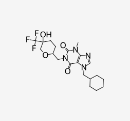 Cn1c(=O)n(CC2CCC(O)(C(F)(F)F)CO2)c(=O)c2c1ncn2CC1CCCCC1